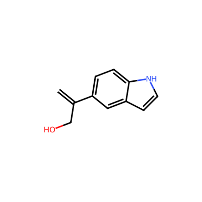 C=C(CO)c1ccc2[nH]ccc2c1